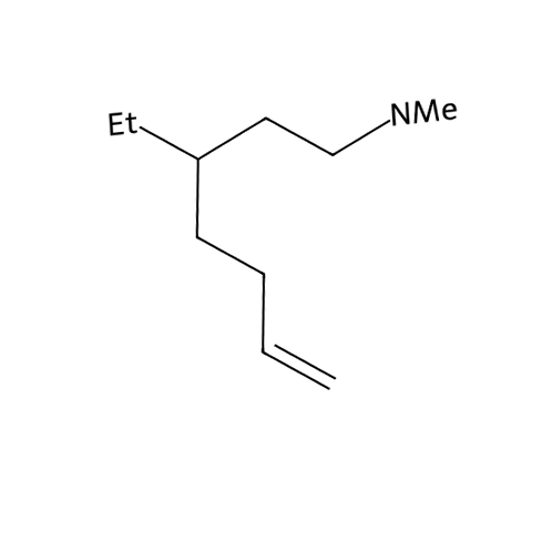 C=CCCC(CC)CCNC